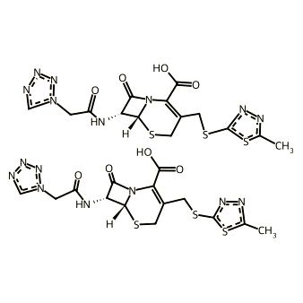 Cc1nnc(SCC2=C(C(=O)O)N3C(=O)[C@@H](NC(=O)Cn4cnnn4)[C@H]3SC2)s1.Cc1nnc(SCC2=C(C(=O)O)N3C(=O)[C@@H](NC(=O)Cn4cnnn4)[C@H]3SC2)s1